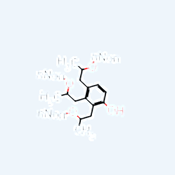 CCCCCCCCCOC(C)Cc1ccc(O)c(CC(C)OCCCCCCCCC)c1CC(C)OCCCCCCCCC